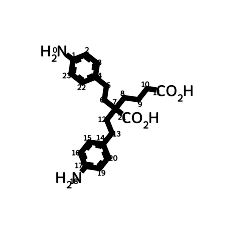 Nc1ccc(CCC(CCCC(=O)O)(CCc2ccc(N)cc2)C(=O)O)cc1